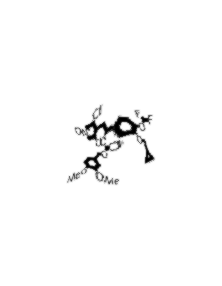 COc1ccc(COC(=O)OC(Cc2c(Cl)c[n+]([O-])cc2Cl)c2ccc(OC(F)F)c(OCC3CC3)c2)cc1OC